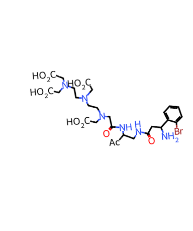 CC(=O)C(CNC(=O)CC(N)c1ccccc1Br)NC(=O)CN(CCN(CCN(CC(=O)O)CC(=O)O)CC(=O)O)CC(=O)O